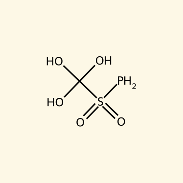 O=S(=O)(P)C(O)(O)O